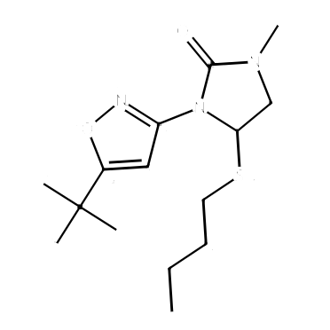 CCCCSC1CN(C)C(=O)N1c1cc(C(C)(C)C)on1